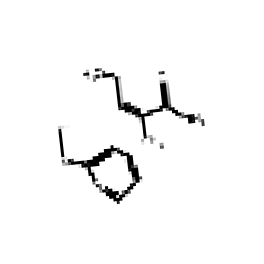 CCC=C(C)C(N)=O.SSc1ccccn1